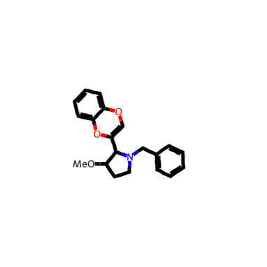 COC1CCN(Cc2ccccc2)C1C1=COc2ccccc2O1